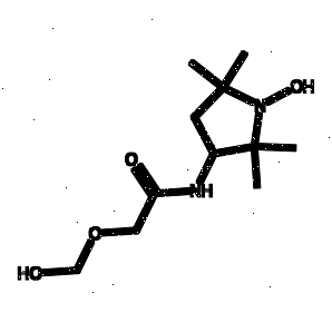 CC1(C)CC(NC(=O)COCO)C(C)(C)N1O